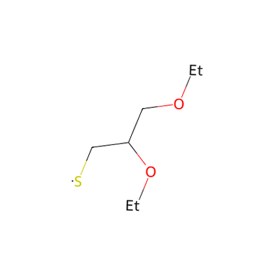 CCOCC(C[S])OCC